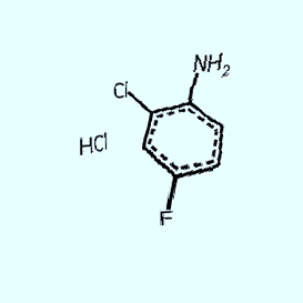 Cl.Nc1ccc(F)cc1Cl